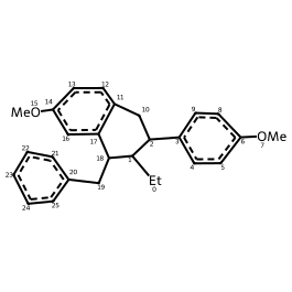 CCC1C(c2ccc(OC)cc2)Cc2ccc(OC)cc2C1Cc1ccccc1